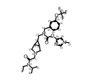 CCN(C(=O)CN1CC2C(C1)C2CN(Cc1cccc(OC(F)(F)F)c1)C(=O)Oc1cn(C)cn1)C(C)C